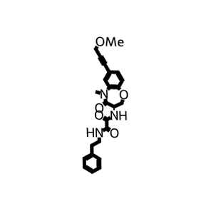 COCC#Cc1ccc2c(c1)N(C)C(=O)[C@@H](NC(=O)C(=O)NCCc1ccccc1)CO2